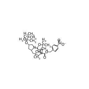 CC(C)(CNC(=O)OCc1ccc([N+](=O)[O-])cc1)CC1CC(O[Si](C)(C)C(C)(C)C)CN1C(=O)OC(C)(C)C